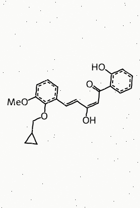 COc1cccc(/C=C/C(O)=C\C(=O)c2ccccc2O)c1OCC1CC1